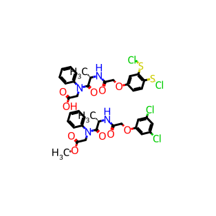 COC(=O)CN(C(=O)[C@H](C)NC(=O)COc1cc(Cl)cc(Cl)c1)c1ccccc1.C[C@H](NC(=O)COc1ccc(SCl)c(SCl)c1)C(=O)N(CC(=O)O)c1ccccc1